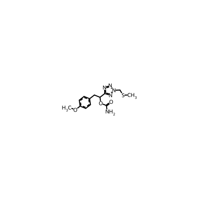 COc1ccc(CC(OC(N)=O)c2nnn(CSC)n2)cc1